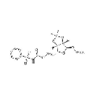 CCCCCCCO[C@H]1O[C@H](C=NOC(=O)NS(=O)(=O)c2ccccc2)[C@@H]2OC(C)(C)O[C@H]12